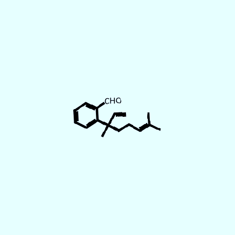 C=CC(C)(CCC=C(C)C)c1ccccc1C=O